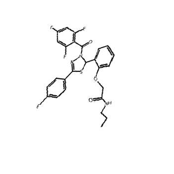 CCCNC(=O)COc1ccccc1C1SC(c2ccc(F)cc2)=NN1C(=O)c1c(F)cc(F)cc1F